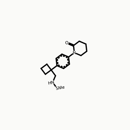 CSNCC1(c2ccc(N3CCCCC3=O)cc2)CCC1